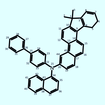 CC1(C)C2=C(CCC=C2)c2c1ccc1c2ccc2ccc(N(c3ccc(-c4ccccc4)cc3)c3cccc4ccccc34)cc21